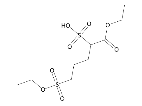 CCOC(=O)C(CCCS(=O)(=O)OCC)S(=O)(=O)O